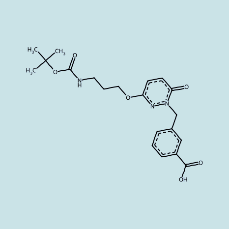 CC(C)(C)OC(=O)NCCCOc1ccc(=O)n(Cc2cccc(C(=O)O)c2)n1